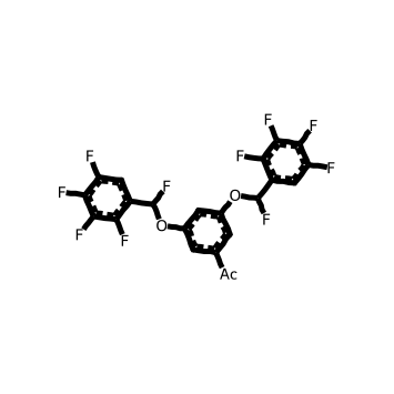 CC(=O)c1cc(OC(F)c2cc(F)c(F)c(F)c2F)cc(OC(F)c2cc(F)c(F)c(F)c2F)c1